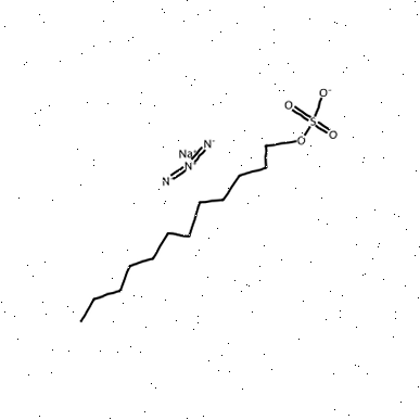 CCCCCCCCCCCCOS(=O)(=O)[O-].[N-]=[N+]=[N-].[Na+]